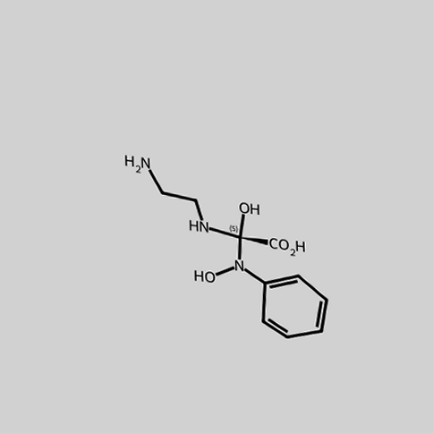 NCCN[C@@](O)(C(=O)O)N(O)c1ccccc1